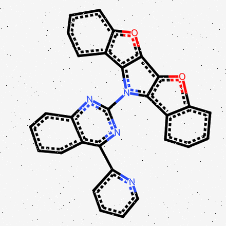 c1ccc(-c2nc(-n3c4c5ccccc5oc4c4oc5ccccc5c43)nc3ccccc23)nc1